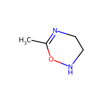 CC1=NCCNO1